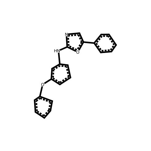 c1ccc(Oc2cccc(Nc3ncc(-c4ccccc4)o3)c2)cc1